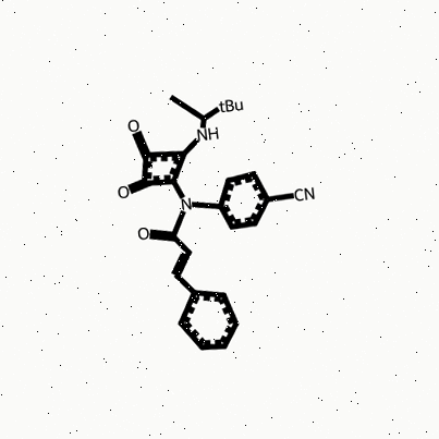 CC(Nc1c(N(C(=O)C=Cc2ccccc2)c2ccc(C#N)cc2)c(=O)c1=O)C(C)(C)C